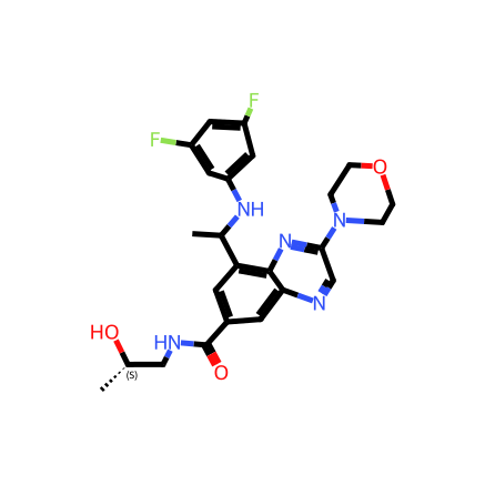 CC(Nc1cc(F)cc(F)c1)c1cc(C(=O)NC[C@H](C)O)cc2ncc(N3CCOCC3)nc12